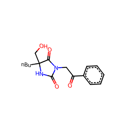 CCCCC1(CO)NC(=O)N(CC(=O)c2ccccc2)C1=O